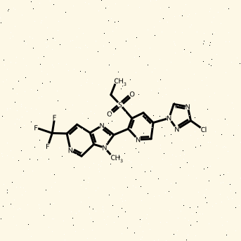 CCS(=O)(=O)c1cc(-n2cnc(Cl)n2)cnc1-c1nc2cc(C(F)(F)F)ncc2n1C